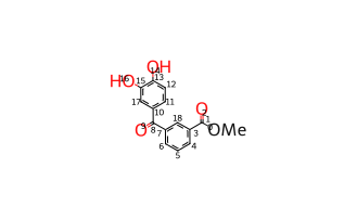 COC(=O)c1cccc(C(=O)c2ccc(O)c(O)c2)c1